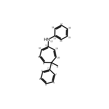 CC1(c2ccccc2)C=CC=C(Nc2ccccc2)C=C1